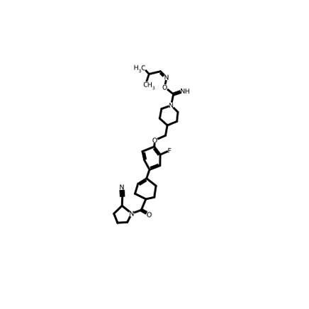 CC(C)/C=N\OC(=N)N1CCC(COc2ccc(C3=CCC(C(=O)N4CCCC4C#N)CC3)cc2F)CC1